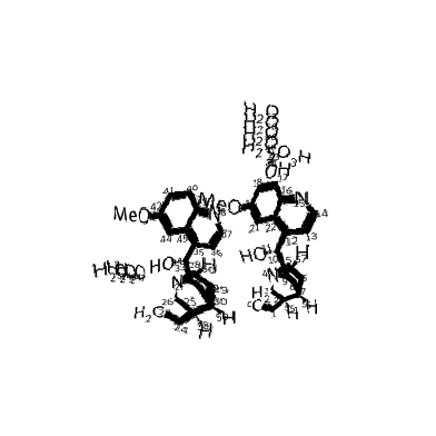 C=C[C@H]1C[N@]2CC[C@H]1C[C@H]2[C@H](O)c1ccnc2ccc(OC)cc12.C=C[C@H]1C[N@]2CC[C@H]1C[C@H]2[C@H](O)c1ccnc2ccc(OC)cc12.O.O.O.O.O.O.O.O=S(=O)(O)O